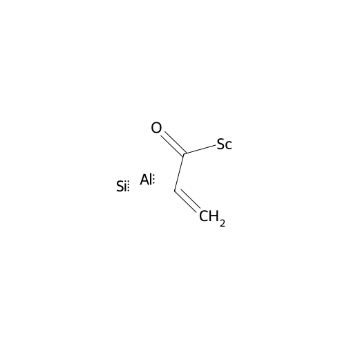 C=C[C](=O)[Sc].[Al].[Si]